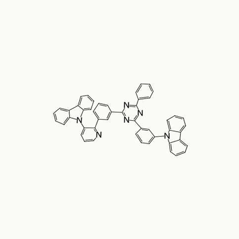 c1ccc(-c2nc(-c3cccc(-c4ncccc4-n4c5ccccc5c5ccccc54)c3)nc(-c3cccc(-n4c5ccccc5c5ccccc54)c3)n2)cc1